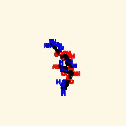 N=C(N)NCCC[C@H](N)C(=O)OC[C@H]1O[C@@H](n2ccc(NOO[C@@H]3[C@H](O)[C@@H](COC(=O)[C@@H](N)Cc4c[nH]cn4)O[C@H]3n3ccc(NO)nc3=O)nc2=O)[C@H](O)[C@@H]1O